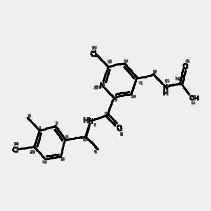 Cc1cc(C(C)NC(=O)c2cc(CNC(=O)O)cc(Cl)n2)ccc1Cl